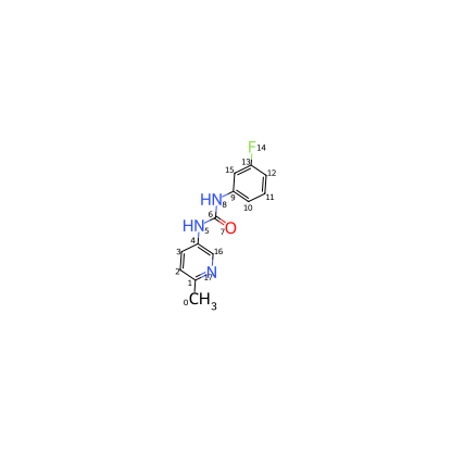 Cc1ccc(NC(=O)Nc2cccc(F)c2)cn1